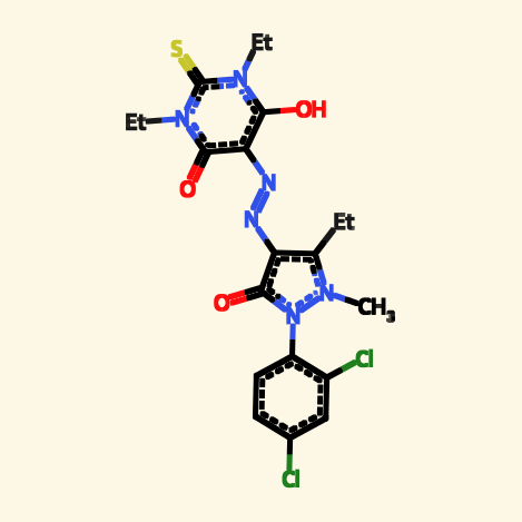 CCc1c(/N=N/c2c(O)n(CC)c(=S)n(CC)c2=O)c(=O)n(-c2ccc(Cl)cc2Cl)n1C